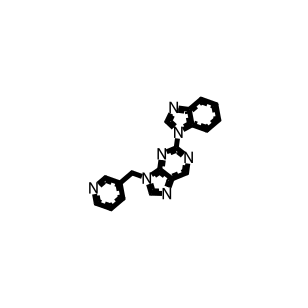 c1cncc(Cn2cnc3cnc(-n4cnc5ccccc54)nc32)c1